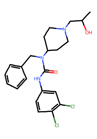 CC(O)CN1CCC(N(Cc2ccccc2)C(=O)Nc2ccc(Cl)c(Cl)c2)CC1